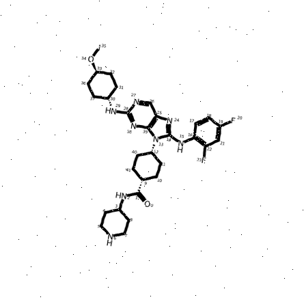 O=C(NC1CCNCC1)[C@H]1CC[C@@H](n2c(Nc3ccc(F)cc3F)nc3cnc(N[C@H]4CC[C@H](OI)CC4)nc32)CC1